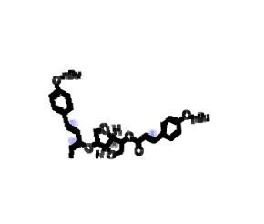 C/C=C(/C=C/c1ccc(OCCCC)cc1)OC1CO[C@@H]2C(OC(=O)/C=C/c3ccc(OCCCC)cc3)CO[C@H]12